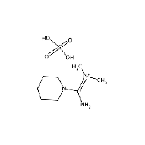 C[N+](C)=C(N)N1CCCCC1.O=S(=O)(O)O